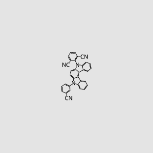 N#Cc1cccc(-n2c3ccccc3c3c4c5ccccc5n(-c5c(C#N)cccc5C#N)c4ccc32)c1